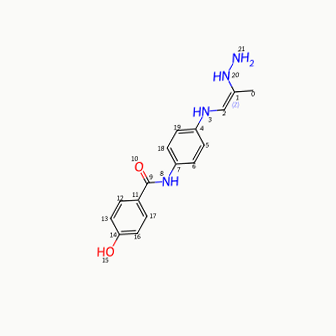 C/C(=C/Nc1ccc(NC(=O)c2ccc(O)cc2)cc1)NN